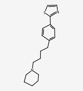 c1csc(-c2ccc(CCCCN3CCCCC3)cc2)n1